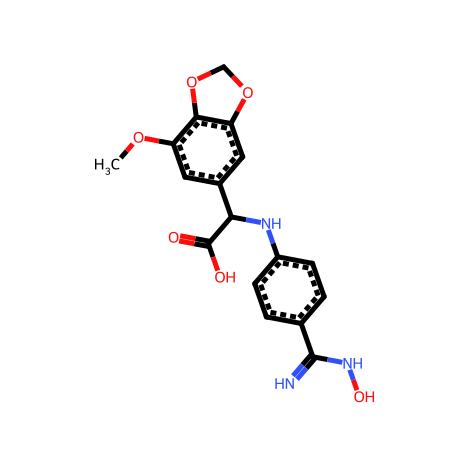 COc1cc(C(Nc2ccc(C(=N)NO)cc2)C(=O)O)cc2c1OCO2